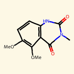 COc1ccc2[nH]c(=O)n(C)c(=O)c2c1OC